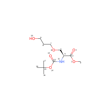 COC(=O)[C@H](COCCCO)NC(=O)OC(C)(C)C